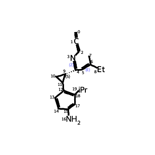 C=C=C/N=C(\C=C(/C)CC)[C@H]1CC1c1ccc(N)cc1C(C)C